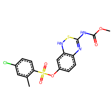 COC(=O)NC1=Nc2ccc(OS(=O)(=O)c3ccc(Cl)cc3C)cc2NS1